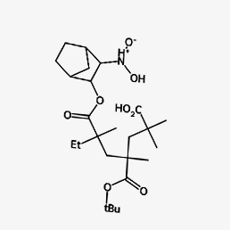 CCC(C)(CC(C)(CC(C)(C)C(=O)O)C(=O)OC(C)(C)C)C(=O)OC1C2CCC(C2)C1[NH+]([O-])O